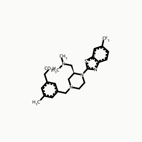 Cc1cc(CC(=O)O)cc(CN2CCN(c3nc4ccc(C(F)(F)F)cc4s3)[C@H](CN(C)C)C2)c1